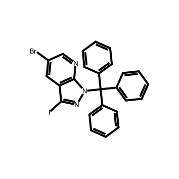 Brc1cnc2c(c1)c(I)nn2C(c1ccccc1)(c1ccccc1)c1ccccc1